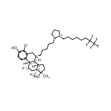 C[C@]12C[C@H](F)[C@@H]3c4ccc(O)c(Cl)c4C[C@@H](CCCCCN4CCC[C@H]4CCCCCCC(F)(F)C(F)(F)F)[C@H]3[C@@H]1CC[C@@]2(C)O